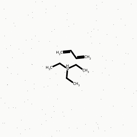 C=CC=C.CC[SiH](CC)CC